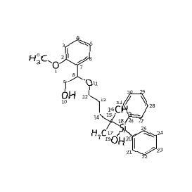 COc1ccccc1C(CO)OCCCC(C)(C)[Si](O)(c1ccccc1)c1ccccc1